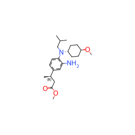 COC(=O)C[C@@H](C)c1ccc(N(CC(C)C)[C@H]2CC[C@H](OC)CC2)c(N)c1